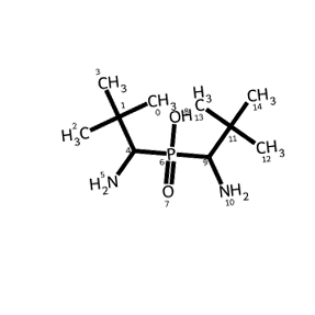 CC(C)(C)C(N)P(=O)(O)C(N)C(C)(C)C